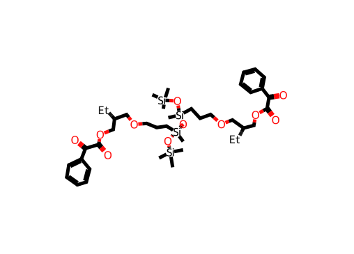 CCC(COCCC[Si](C)(O[Si](C)(C)C)O[Si](C)(CCCOCC(CC)COC(=O)C(=O)c1ccccc1)O[Si](C)(C)C)COC(=O)C(=O)c1ccccc1